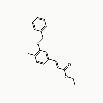 CCOC(=O)C=Cc1ccc(C)c(OCc2ccccc2)c1